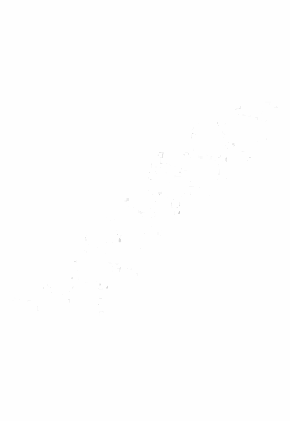 CCOCc1ccc(-c2ccc(C(=O)Oc3ccc(C4CCC(C)CC4)c(F)c3F)cc2)c(F)c1F